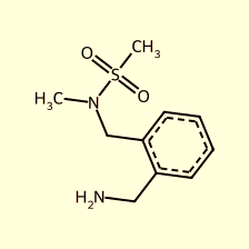 CN(Cc1ccccc1CN)S(C)(=O)=O